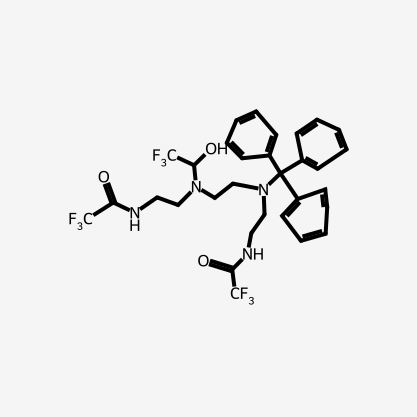 O=C(NCCN(CCN(CCNC(=O)C(F)(F)F)C(c1ccccc1)(c1ccccc1)c1ccccc1)C(O)C(F)(F)F)C(F)(F)F